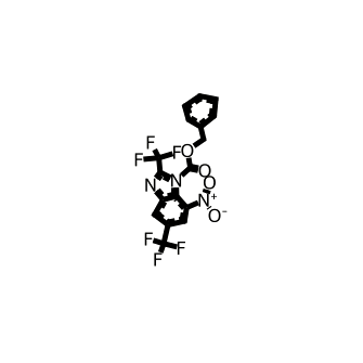 O=C(OCc1ccccc1)n1c(C(F)(F)F)nc2cc(C(F)(F)F)cc([N+](=O)[O-])c21